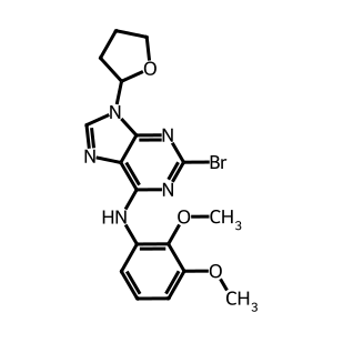 COc1cccc(Nc2nc(Br)nc3c2ncn3C2CCCO2)c1OC